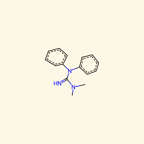 CN(C)C(=N)N(c1ccccc1)c1ccccc1